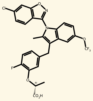 Cc1c(Cc2ccc(F)c(O[C@H](C)C(=O)O)c2)c2cc(OC(F)(F)F)ccc2n1-c1noc2cc(Cl)ccc12